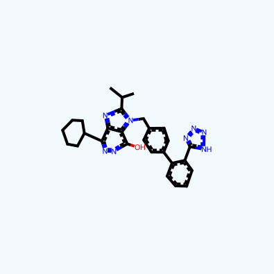 CC(C)c1nc2c(C3CCCCC3)nnc(O)c2n1Cc1ccc(-c2ccccc2-c2nnn[nH]2)cc1